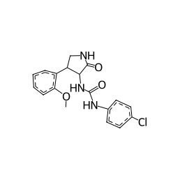 COc1ccccc1C1CNC(=O)C1NC(=O)Nc1ccc(Cl)cc1